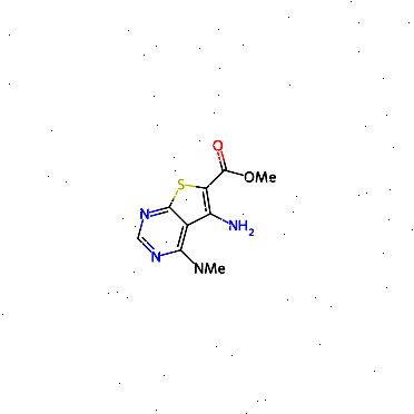 CNc1ncnc2sc(C(=O)OC)c(N)c12